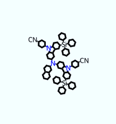 [C-]#[N+]c1ccc(-n2c3ccc(N(c4ccc5ccccc5c4)c4ccc5c(c4)c4cc([Si](c6ccccc6)(c6ccccc6)c6ccccc6)ccc4n5-c4ccc(C#N)cc4)cc3c3cc([Si](c4ccccc4)(c4ccccc4)c4ccccc4)ccc32)cc1